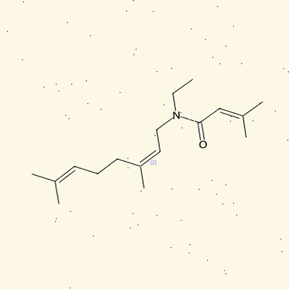 CCN(C/C=C(/C)CCC=C(C)C)C(=O)C=C(C)C